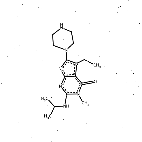 CCn1c(N2CCNCC2)nc2nc(NC(C)C)n(C)c(=O)c21